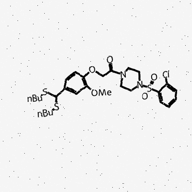 CCCCSC(SCCCC)c1ccc(OCC(=O)N2CCN(S(=O)(=O)c3ccccc3Cl)CC2)c(OC)c1